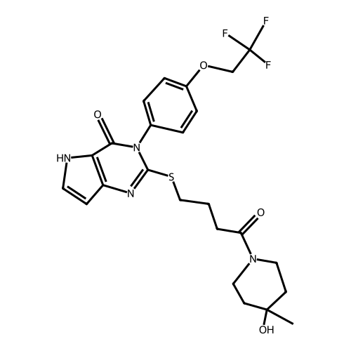 CC1(O)CCN(C(=O)CCCSc2nc3cc[nH]c3c(=O)n2-c2ccc(OCC(F)(F)F)cc2)CC1